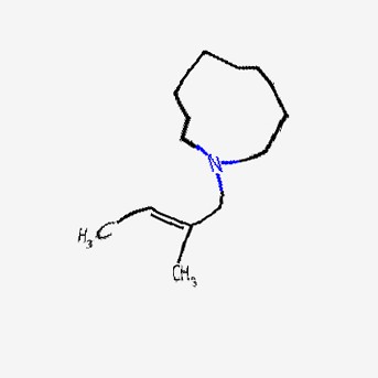 CC=C(C)CN1CCCCCC1